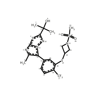 Cc1nc2sc(C(C)(C)O)nn2c1-c1ccc(C(F)(F)F)c(SC2CN(S(C)(=O)=O)C2)c1